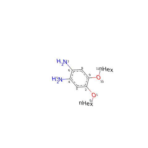 CCCCCCOc1cc(N)c(N)cc1OCCCCCC